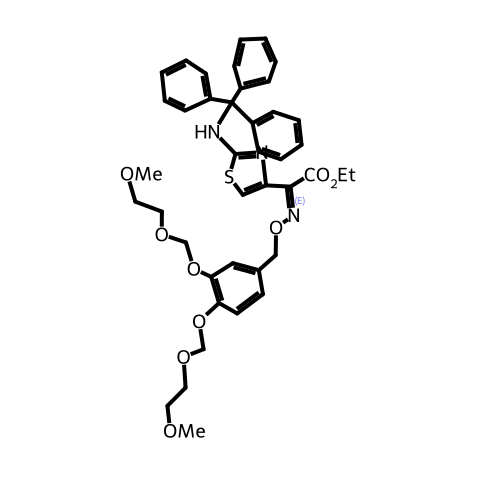 CCOC(=O)/C(=N/OCc1ccc(OCOCCOC)c(OCOCCOC)c1)c1csc(NC(c2ccccc2)(c2ccccc2)c2ccccc2)n1